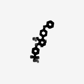 CS(=O)(=O)c1ccc(Oc2ncnc(C3CCC(Sc4ccccc4)CC3)c2[N+](=O)[O-])cc1